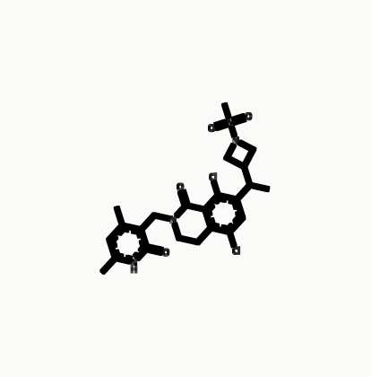 Cc1cc(C)c(CN2CCc3c(Cl)cc(C(C)C4CN(S(C)(=O)=O)C4)c(Cl)c3C2=O)c(=O)[nH]1